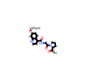 CCCCCOc1ccc2c(C(=O)NCC(=O)N3CCCC3C(=O)C(C)=O)ccnc2c1